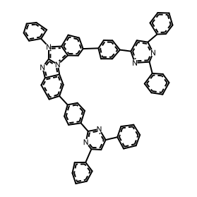 c1ccc(-c2cc(-c3ccc(-c4ccc5c(c4)n4c6cc(-c7ccc(-c8nc(-c9ccccc9)cc(-c9ccccc9)n8)cc7)ccc6nc4n5-c4ccccc4)cc3)nc(-c3ccccc3)n2)cc1